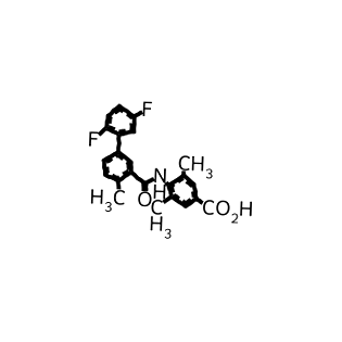 Cc1ccc(-c2cc(F)ccc2F)cc1C(=O)Nc1c(C)cc(C(=O)O)cc1C